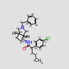 CCCC(C(=O)N[C@H]1CC[C@@H]2CN(Cc3ccccc3)C[C@@H]21)c1ccc(Cl)cc1